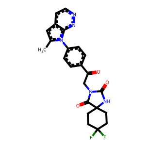 Cc1cc2ccnnc2n1-c1ccc(C(=O)CN2C(=O)NC3(CCC(F)(F)CC3)C2=O)cc1